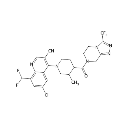 CC1CN(c2c(C#N)cnc3c(C(F)F)cc(Cl)cc23)CCC1C(=O)N1CCn2c(nnc2C(F)(F)F)C1